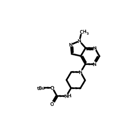 Cn1ncc2c(N3CCC(NC(=O)OC(C)(C)C)CC3)ncnc21